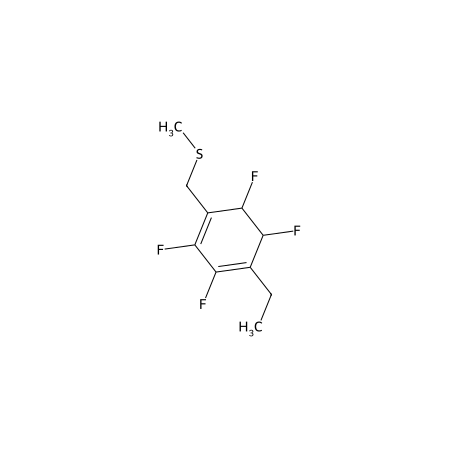 CCC1=C(F)C(F)=C(CSC)C(F)C1F